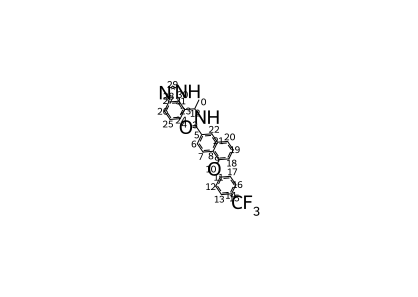 CC(NC(=O)c1ccc2c(Oc3ccc(C(F)(F)F)cc3)cccc2c1)c1cccc2nc[nH]c12